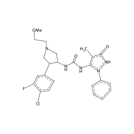 COCCN1CC(NC(=O)Nc2c(C)c(=O)[nH]n2-c2ccccc2)C(c2ccc(Cl)c(F)c2)C1